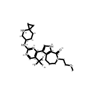 COCCN1CCCc2c(-c3nc(NC4CCC5(CC5)NC4)ncc3C(F)(F)F)c[nH]c2C1=O